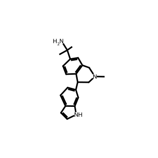 CN1Cc2cc(C(C)(C)N)ccc2C(c2ccc3cc[nH]c3c2)C1